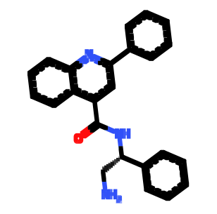 NC[C@H](NC(=O)c1cc(-c2ccccc2)nc2ccccc12)c1ccccc1